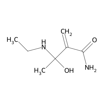 C=C(C(N)=O)C(C)(O)NCC